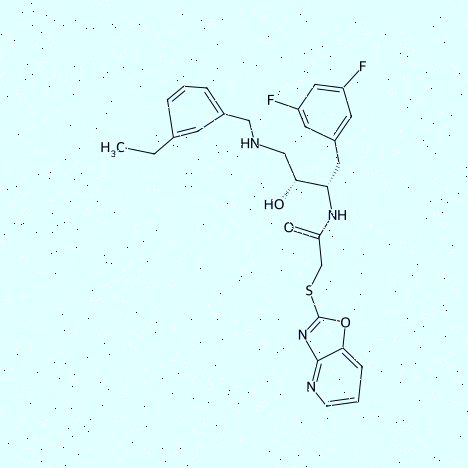 CCc1cccc(CNC[C@@H](O)[C@H](Cc2cc(F)cc(F)c2)NC(=O)CSc2nc3ncccc3o2)c1